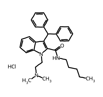 CCCCCNC(=O)c1c(C(c2ccccc2)c2ccccc2)c2ccccc2n1CCN(C)C.Cl